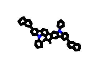 CC1c2cc3c4cc(-c5ccc6ccccc6c5)ccc4n(-c4ccccc4)c3cc2-c2ccc3c4cc(-c5ccc6ccccc6c5)ccc4n(-c4ccccc4)c3c2C1C